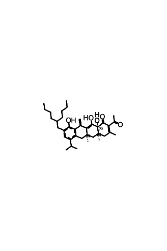 C=C1C2=C(O)[C@@]3(O)C(=O)C(C(C)=O)=C(C)C[C@@]3(C)C[C@@]2(C)Cc2c(C(C)C)cc(CC(CCCC)CCCC)c(O)c21